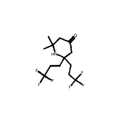 CC1(C)CC(=O)CC(CCC(F)(F)F)(CCC(F)(F)F)N1